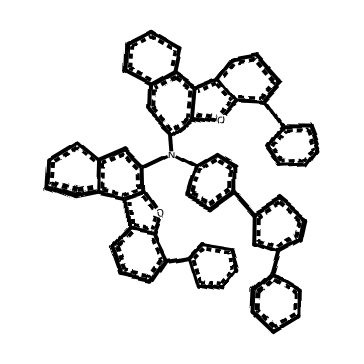 c1ccc(-c2cccc(-c3ccc(N(c4cc5ccccc5c5c4oc4c(-c6ccccc6)cccc45)c4cc5ccccc5c5c4oc4c(-c6ccccc6)cccc45)cc3)c2)cc1